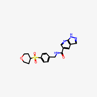 O=C(NCc1ccc(S(=O)(=O)C2CCOCC2)cc1)c1cnc2[nH]ncc2c1